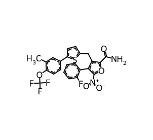 Cc1cc(-c2ccc(Cc3c(C(N)=O)oc([N+](=O)[O-])c3-c3ccccc3F)s2)ccc1OC(F)(F)F